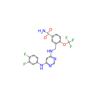 NS(=O)(=O)c1ccc(OC(F)(F)F)c(CNc2cc(Nc3ccc(F)c(F)c3)ncn2)c1